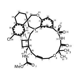 COC(=O)N[C@H]1C=CCOC(C)(C)C(=O)NS(=O)(=O)c2ccc3c(c2)N(C[C@@H]2CC[C@H]21)C[C@@]1(CCCc2cc(Cl)ccc21)CO3